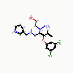 C=C(C)/C(Oc1cc(Cl)cc(Cl)c1)=C(/CNCc1cccnc1)N(N)CCO